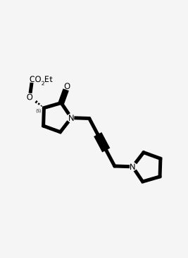 CCOC(=O)O[C@H]1CCN(CC#CCN2CCCC2)C1=O